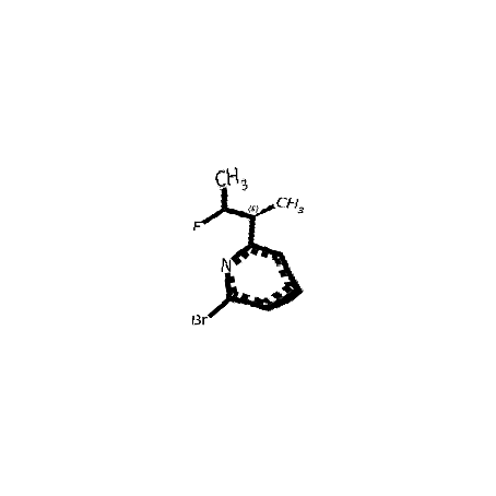 CC(F)[C@@H](C)c1cccc(Br)n1